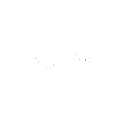 COCC(C(=O)Nc1nnc(CCSCCc2nnc(NC(=O)C(COC)c3ccccc3)s2)s1)c1ccccc1